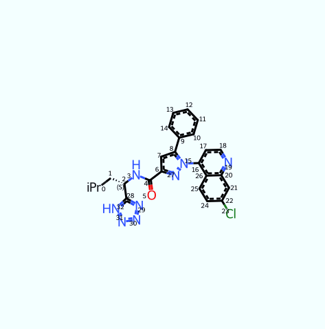 CC(C)C[C@H](NC(=O)c1cc(-c2ccccc2)n(-c2ccnc3cc(Cl)ccc23)n1)c1nnn[nH]1